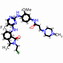 COc1cc(NC(=O)CCN2CCN(C)CC2)ccc1Nc1ncc(C(F)(F)F)c(Nc2cccc3c2C(=O)N(CCF)C3C)n1